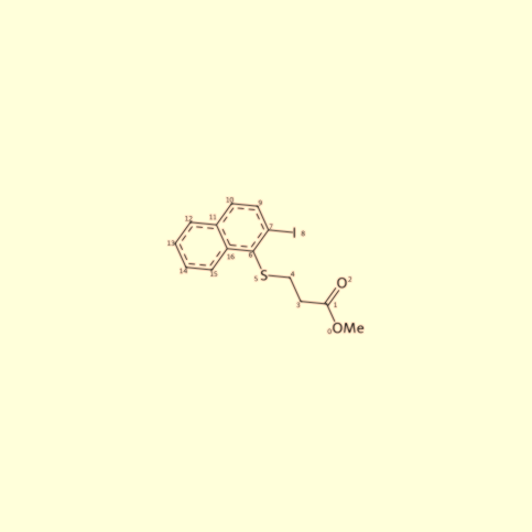 COC(=O)CCSc1c(I)ccc2ccccc12